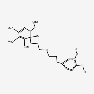 CCOc1ccc(CCCNCCCC2(C(C)C)C(OC)=C(OC)C(OC)=CC2CC=O)cc1OCC